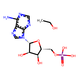 CCO.Nc1ncnc2c1ncn2[C@@H]1O[C@H](COP(=O)(O)O)[C@@H](O)[C@H]1O